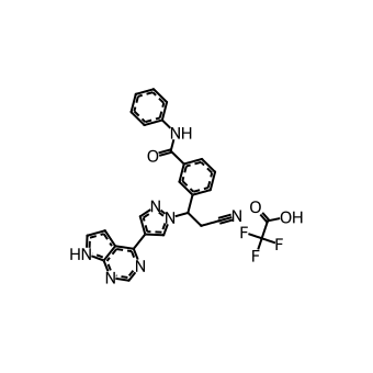 N#CCC(c1cccc(C(=O)Nc2ccccc2)c1)n1cc(-c2ncnc3[nH]ccc23)cn1.O=C(O)C(F)(F)F